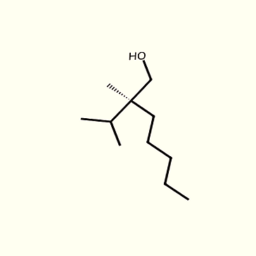 CCCCC[C@](C)(CO)C(C)C